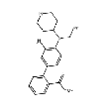 COC(=O)c1ccccc1-c1ccc(N(CC(C)C)C2CCNCC2)c(N)c1